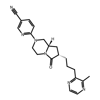 Cc1nccnc1CCC[C@H]1C[C@H]2CN(c3ccc(C#N)cn3)CCN2C1=O